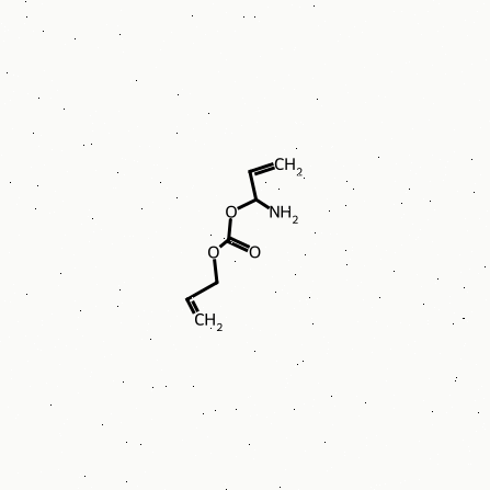 C=CCOC(=O)OC(N)C=C